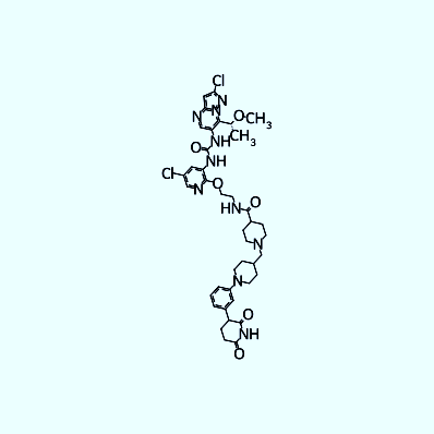 CO[C@H](C)c1c(NC(=O)Nc2cc(Cl)cnc2OCCNC(=O)C2CCN(CC3CCN(c4cccc(C5CCC(=O)NC5=O)c4)CC3)CC2)cnc2cc(Cl)nn12